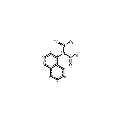 O=[N+]([O-])N(c1cccc2ccccc12)[N+](=O)[O-]